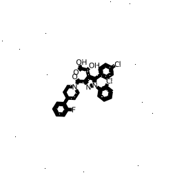 O=C(O)C(O)c1c(C(=O)N2CCC(c3ccccc3F)CC2)nn(-c2ccccc2Cl)c1-c1ccc(Cl)cc1